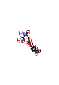 CC(CO)[C@H]1NC(=O)[C@@H]1CCOC(=O)OCc1ccc([N+](=O)[O-])cc1